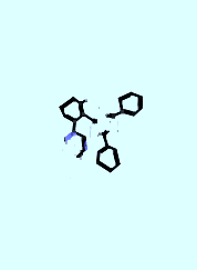 C=C/C=C\C(=C/C)c1cccc(F)c1-c1nc(-c2ccccc2)nc(-c2ccccc2)n1